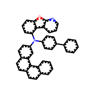 c1ccc(-c2ccc(N(c3ccc4ccc5ccc6ccccc6c5c4c3)c3cccc4oc5ncccc5c34)cc2)cc1